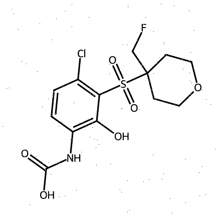 O=C(O)Nc1ccc(Cl)c(S(=O)(=O)C2(CF)CCOCC2)c1O